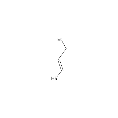 CCCC=CS